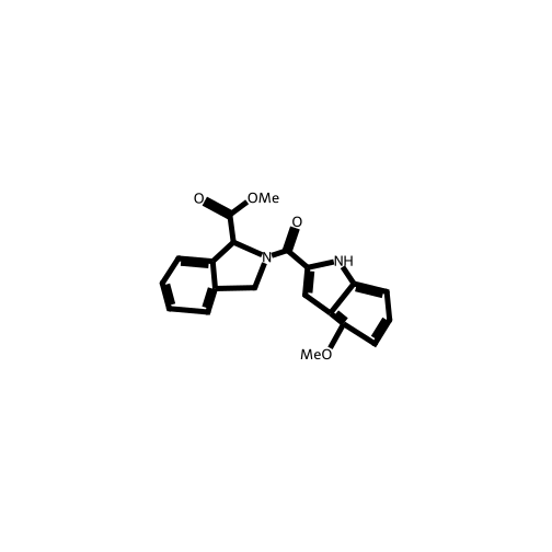 COC(=O)C1c2ccccc2CN1C(=O)c1cc2c(OC)cccc2[nH]1